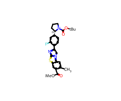 COC(=O)c1cc2sc3nc(-c4ccc([C@@H]5CCCN5C(=O)OC(C)(C)C)cc4F)cn3c2cc1C